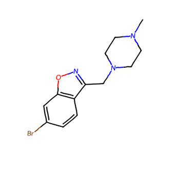 CN1CCN(Cc2noc3cc(Br)ccc23)CC1